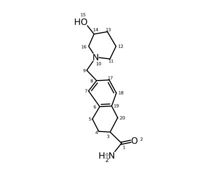 NC(=O)C1CCc2cc(CN3CCCC(O)C3)ccc2C1